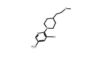 COCCC1CCN(c2ncc(N)cc2Cl)CC1